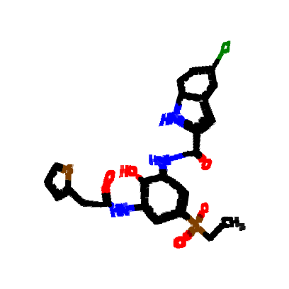 CCS(=O)(=O)c1cc(NC(=O)Cc2cccs2)c(O)c(NC(=O)c2cc3cc(Cl)ccc3[nH]2)c1